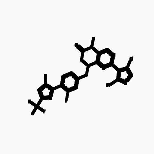 CC(C)n1ncc(Cl)c1-c1ncc2c(n1)N(Cc1ccc(-c3nc(C(C)(F)F)cn3C)c(F)c1)CC(=O)N2C